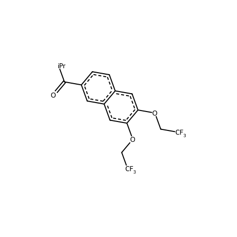 CC(C)C(=O)c1ccc2cc(OCC(F)(F)F)c(OCC(F)(F)F)cc2c1